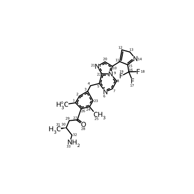 Cc1cc(Cc2nccn3c(C4=CCN=C4C(F)(F)F)cnc23)cc(C)c1C(=O)C[C@H](C)CN